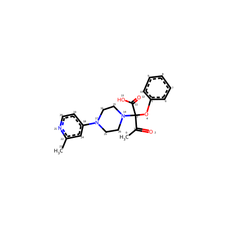 CC(=O)C(Oc1ccccc1)(C(=O)O)N1CCN(c2ccnc(C)c2)CC1